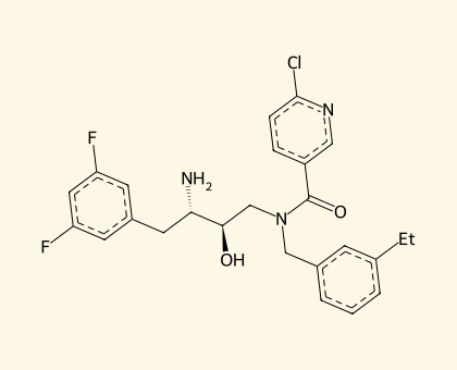 CCc1cccc(CN(C[C@@H](O)[C@@H](N)Cc2cc(F)cc(F)c2)C(=O)c2ccc(Cl)nc2)c1